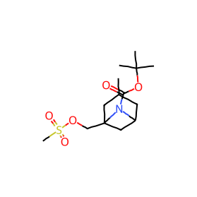 CC1CC2CC(COS(C)(=O)=O)(C1)N2C(=O)OC(C)(C)C